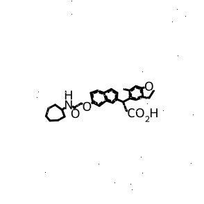 Cc1cc2c(cc1C(CC(=O)O)c1ccc3ccc(OCC(=O)NC4CCCCCC4)cc3c1)CCO2